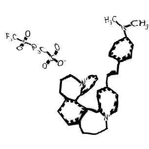 CN(C)c1ccc(/C=C/c2cc[n+]3c(c2)-c2c(ccc4c2-c2cccc[n+]2CCC4)CCC3)cc1.O=S(=O)([O-])C(F)(F)F.O=S(=O)([O-])C(F)(F)F